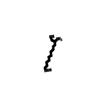 CCCCCCCCCCCCCCCCSCC(C)CO